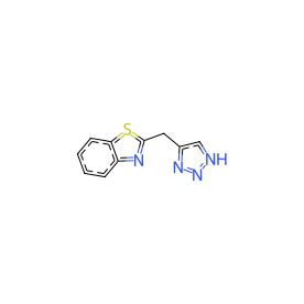 c1ccc2sc(Cc3c[nH]nn3)nc2c1